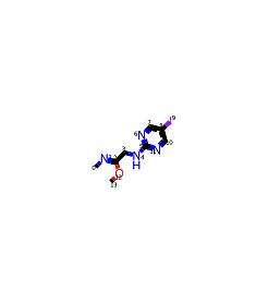 C/N=C(/CNc1ncc(I)cn1)OC